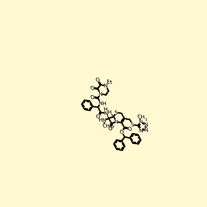 CCN1CCN(C(=O)NC(C(=O)N[C@]2(NC=O)C(=O)N3C(C(=O)OC(c4ccccc4)c4ccccc4)=C(CSc4nnnn4C)CS[C@H]32)c2ccccc2)C(=O)C1=O